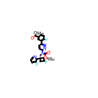 COC(=O)c1ccc(F)c(-c2ccc(N(C[C@]3(c4ncccc4F)C[C@@H](F)C3)C(=O)OC(C)(C)C)nn2)c1